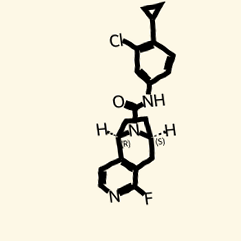 O=C(Nc1ccc(C2CC2)c(Cl)c1)N1[C@H]2CC[C@@H]1c1ccnc(F)c1C2